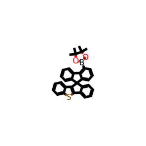 CC1(C)OB(c2cccc3c2-c2ccccc2C32c3ccccc3-c3sc4ccccc4c32)OC1(C)C